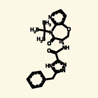 BC(B)(B)N1C(=O)[C@@H](NC(=O)c2nnc(Cc3ccccc3)[nH]2)COc2cccnc21